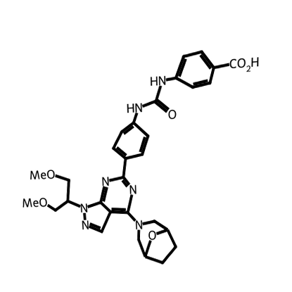 COCC(COC)n1ncc2c(N3CC4CCC(C3)O4)nc(-c3ccc(NC(=O)Nc4ccc(C(=O)O)cc4)cc3)nc21